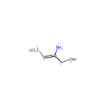 COC/C(N)=C/C(=O)O